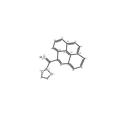 C=C(B1OCCO1)c1cc2cccc3ccc4cccc1c4c32